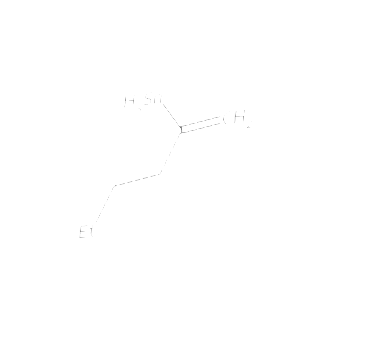 C=[C]([SnH3])CCCC